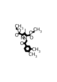 CCOC(=O)c1nn(CC(=O)c2ccc(C)c(C)c2)c(C(=O)OCC)c1I